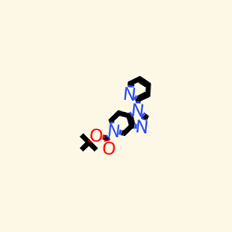 CC(C)(C)OC(=O)N1CCc2c(ncn2-c2ccccn2)C1